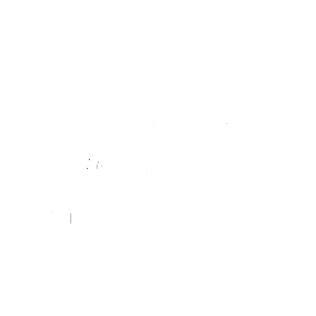 O=CCC1(O)CCC2(CC1)CC2